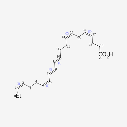 CC/C=C\CC\C=C/C=C/C=C/CC/C=C\C/C=C\CCC(=O)O